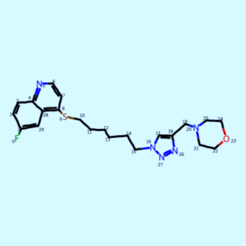 Fc1ccc2nccc(SCCCCCCn3cc(CN4CCOCC4)nn3)c2c1